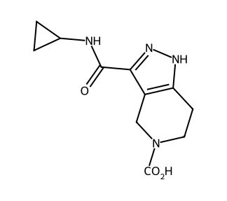 O=C(NC1CC1)c1n[nH]c2c1CN(C(=O)O)CC2